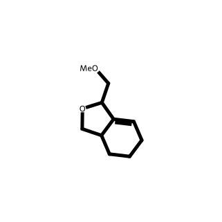 COCC1OCC2CCCC=C21